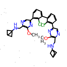 COc1nc(-c2cccc(-c3cccc(-c4cnc(CNC56CC(C5)C6)c(OC)n4)c3Cl)c2Cl)cnc1CNC12CC(C1)C2